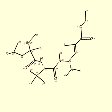 CCOC(=O)/C(C)=C/[C@H](C(C)C)N(C)C(=O)[C@@H](NC(=O)C(C)(CC(C)C)NC)C(C)(C)C